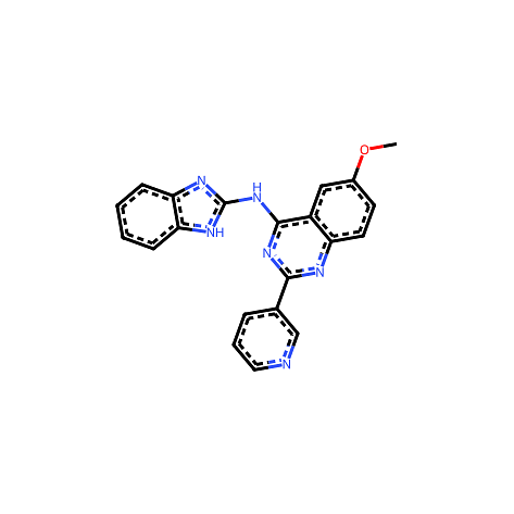 COc1ccc2nc(-c3cccnc3)nc(Nc3nc4ccccc4[nH]3)c2c1